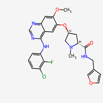 COc1cc2ncnc(Nc3cccc(Cl)c3F)c2cc1O[C@H]1C[C@H](C(=O)NCc2ccoc2)N(C)C1